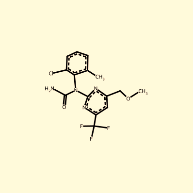 COCc1cc(C(F)(F)F)nc(N(C(N)=O)c2c(C)cccc2Cl)n1